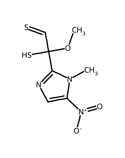 COC(S)(C=S)c1ncc([N+](=O)[O-])n1C